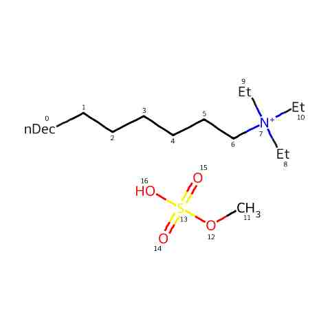 CCCCCCCCCCCCCCCC[N+](CC)(CC)CC.COS(=O)(=O)O